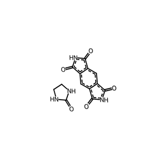 O=C1NCCN1.O=c1[nH]c(=O)c2cc3c(=O)[nH]c(=O)c3cc12